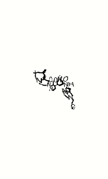 C=C1/C=C2/C(=O)N(c3nccc(-c4cc(Nc5cc6n(n5)CCN(CCOC)C6)c(=O)n(C)c4)c3CO)CCN2CCC(C)(C)C1